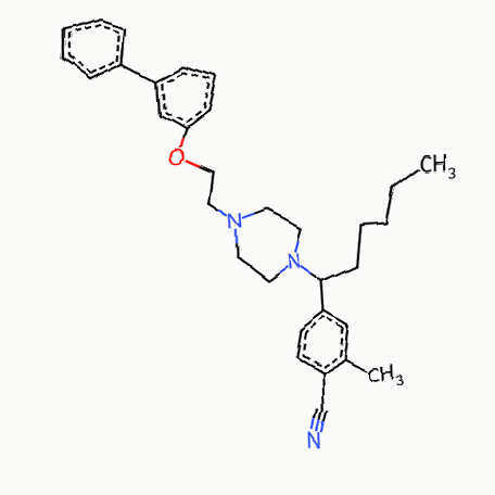 CCCCCC(c1ccc(C#N)c(C)c1)N1CCN(CCOc2cccc(-c3ccccc3)c2)CC1